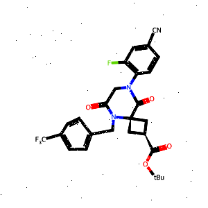 CC(C)(C)OC(=O)[C@H]1C[C@]2(C1)C(=O)N(c1ccc(C#N)cc1F)CC(=O)N2Cc1ccc(C(F)(F)F)cc1